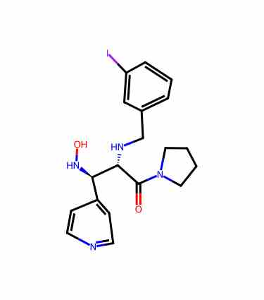 O=C([C@@H](NCc1cccc(I)c1)[C@H](NO)c1ccncc1)N1CCCC1